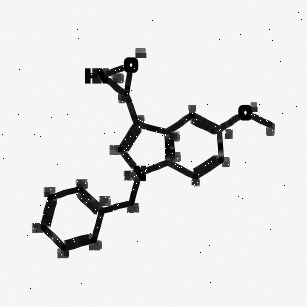 COc1ccc2c(c1)c(C1NO1)cn2Cc1ccccc1